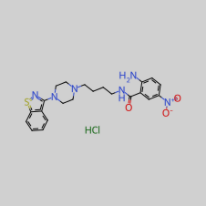 Cl.Nc1ccc([N+](=O)[O-])cc1C(=O)NCCCCN1CCN(c2nsc3ccccc23)CC1